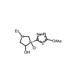 CCN1CC(O)[N+]([O-])(c2nnc(OC)s2)C1